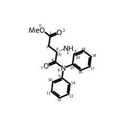 COC(=O)C[C@H](N)C(=O)N(c1ccccc1)c1ccccc1